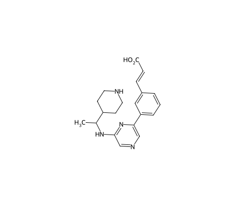 CC(Nc1cncc(-c2cccc(C=CC(=O)O)c2)n1)C1CCNCC1